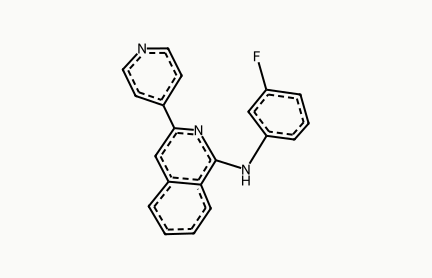 Fc1cccc(Nc2nc(-c3ccncc3)cc3ccccc23)c1